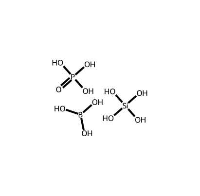 O=P(O)(O)O.OB(O)O.O[Si](O)(O)O